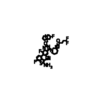 N#Cc1c(N)sc2c(F)ccc(-c3c(Cl)cc4c(N5CCCCC6(CN(C(=O)CCC(F)F)C6)C5)nc(OC[C@@]56CCCN5C[C@H](F)C6)nc4c3F)c12